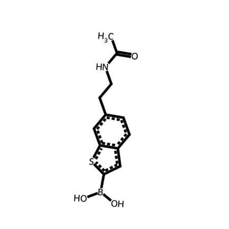 CC(=O)NCCc1ccc2cc(B(O)O)sc2c1